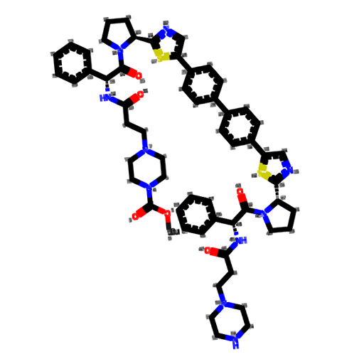 CC(C)(C)OC(=O)N1CCN(CCC(=O)N[C@@H](C(=O)N2CCC[C@H]2c2ncc(-c3ccc(-c4ccc(-c5cnc([C@@H]6CCCN6C(=O)[C@H](NC(=O)CCN6CCNCC6)c6ccccc6)s5)cc4)cc3)s2)c2ccccc2)CC1